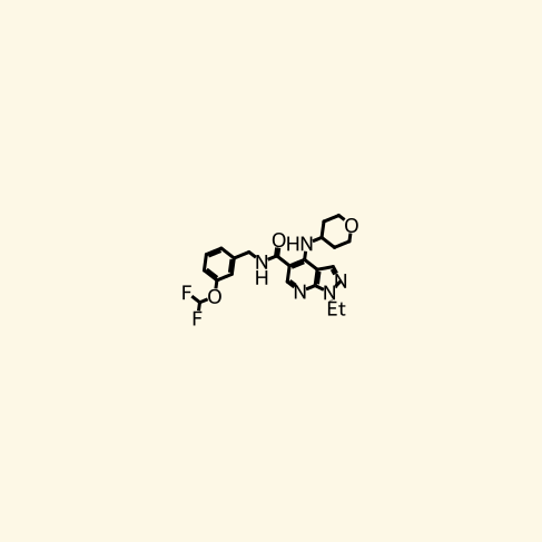 CCn1ncc2c(NC3CCOCC3)c(C(=O)NCc3cccc(OC(F)F)c3)cnc21